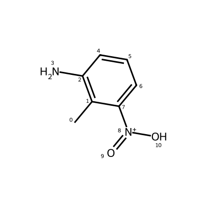 Cc1c(N)cccc1[N+](=O)O